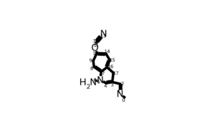 C/N=C/C1=CN(N)C2=CCC(OC#N)=CC=C2C1